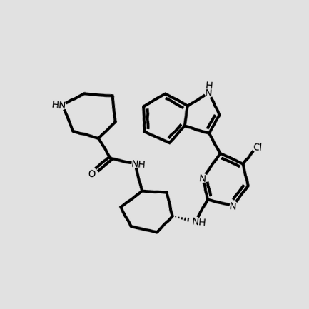 O=C(NC1CCC[C@@H](Nc2ncc(Cl)c(-c3c[nH]c4ccccc34)n2)C1)C1CCCNC1